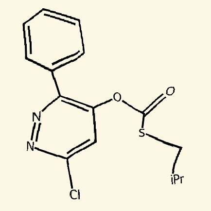 CC(C)CSC(=O)Oc1cc(Cl)nnc1-c1ccccc1